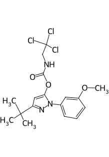 COc1cccc(-n2nc(C(C)(C)C)cc2OC(=O)NCC(Cl)(Cl)Cl)c1